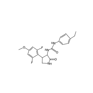 CCc1ccc(NC(=O)NC2C(=O)NCC2c2c(F)cc(OC)cc2F)cc1